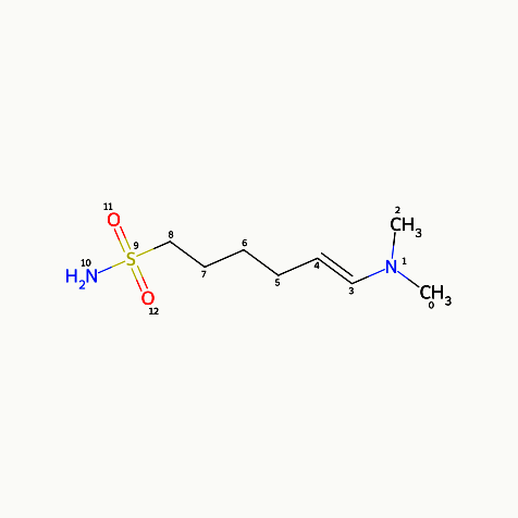 CN(C)C=CCCCCS(N)(=O)=O